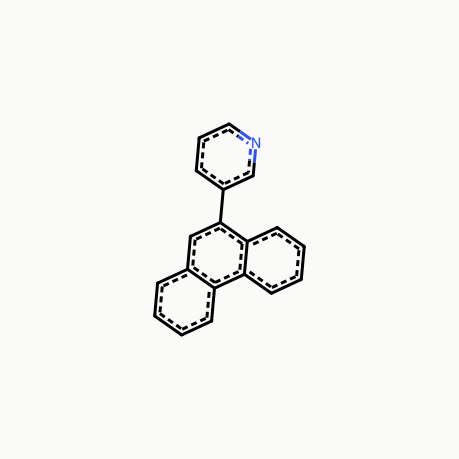 c1cncc(-c2cc3ccccc3c3ccccc23)c1